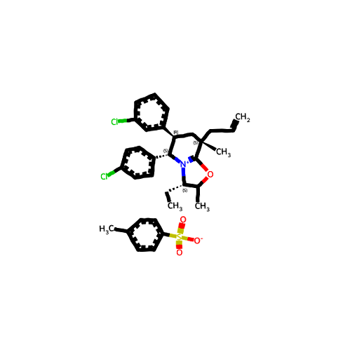 C=CC[C@@]1(C)C[C@H](c2cccc(Cl)c2)[C@@H](c2ccc(Cl)cc2)[N+]2=C1OC(C)[C@@H]2CC.Cc1ccc(S(=O)(=O)[O-])cc1